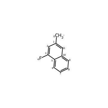 [CH2]c1cc(F)c2ccccc2c1